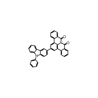 O=c1c2ccccc2c2cc(-c3ccc4c(c3)c3ccccc3n4-c3ccccc3)cc3c4ccccc4c(=O)n1c23